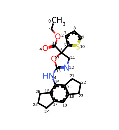 CCOC(=O)C1(c2cccs2)CN=C(Nc2c3c(cc4c2CCC4)CCC3)O1